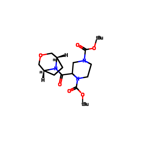 CC(C)(C)OC(=O)N1CCN(C(=O)OC(C)(C)C)C(C(=O)N2[C@@H]3CC[C@H]2COC3)C1